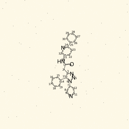 O=C(Cc1nnn(-c2ccncc2)c1-c1ccccc1)Nc1ccc(-c2ccccc2)nc1